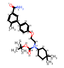 Cc1ccc(C(N)=O)cc1-c1ccc(OCCN(C(=O)OC(C)(C)C)C2CCC(C)(C)CC2)cc1